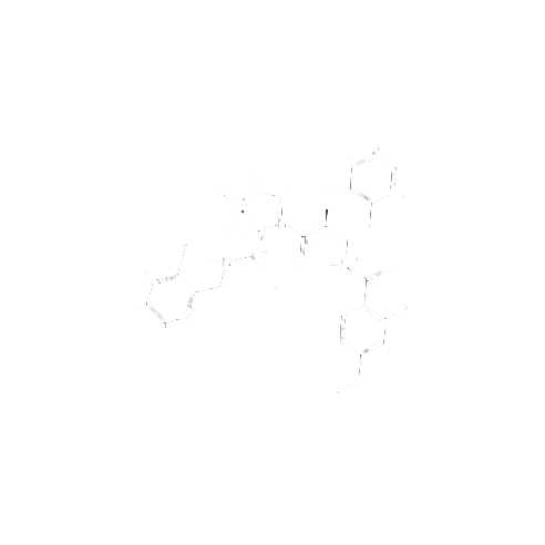 COc1ccc(C(=O)N[C@@H](Cc2ccccc2)[C@H](O)C(=O)N2CSC(C)(C)[C@H]2C(=O)NCc2ccccc2C)c(C)c1